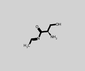 C/C=N/C(=O)[C@H](N)CO